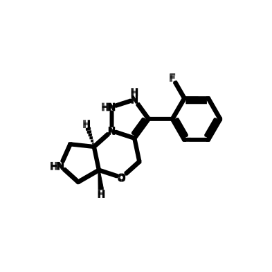 Fc1ccccc1C1=C2CO[C@@H]3CNC[C@H]3N2NN1